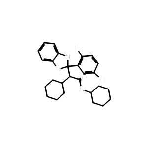 O=C(NC1CCCCC1)C(C1CCCCC1)C1(c2cc(Cl)ccc2F)Nc2ccccc2N1